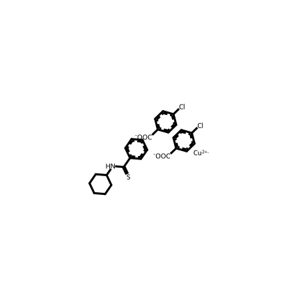 O=C([O-])c1ccc(Cl)cc1.O=C([O-])c1ccc(Cl)cc1.S=C(NC1CCCCC1)c1ccccc1.[Cu+2]